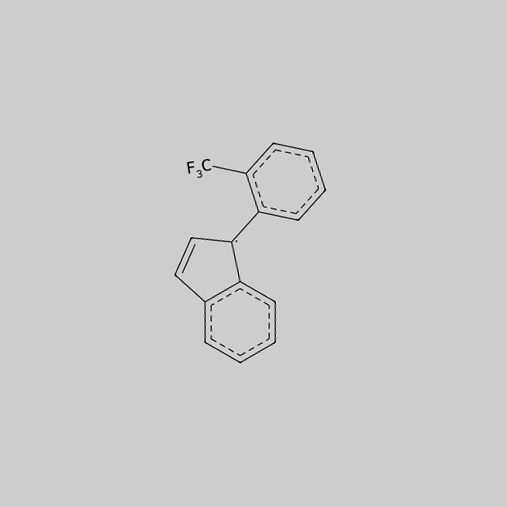 FC(F)(F)c1ccccc1[C]1C=Cc2ccccc21